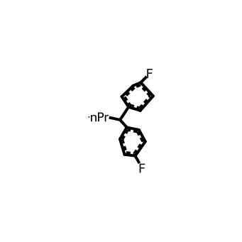 CC[CH]C(c1ccc(F)cc1)c1ccc(F)cc1